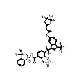 [2H]C([2H])([2H])Oc1cc(C(=O)NS(=O)(=O)c2ccccc2C([2H])([2H])[2H])ccc1C([2H])([2H])c1cn(C([2H])([2H])[2H])c2ccc(NC(=O)OC3CC([2H])([2H])C([2H])([2H])C3)cc12